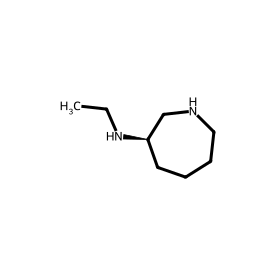 CCN[C@@H]1CCCCNC1